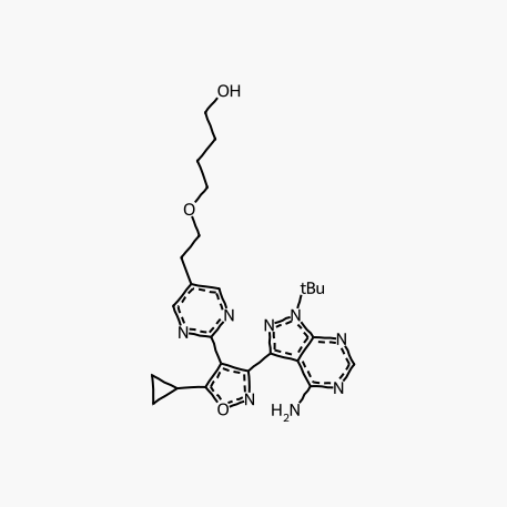 CC(C)(C)n1nc(-c2noc(C3CC3)c2-c2ncc(CCOCCCCO)cn2)c2c(N)ncnc21